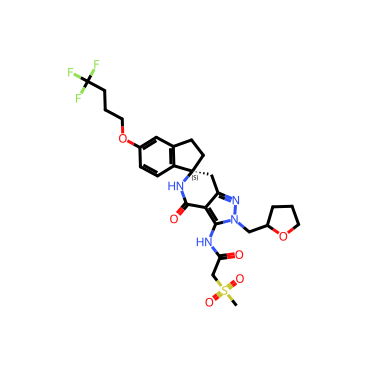 CS(=O)(=O)CC(=O)Nc1c2c(nn1CC1CCCO1)C[C@]1(CCc3cc(OCCCC(F)(F)F)ccc31)NC2=O